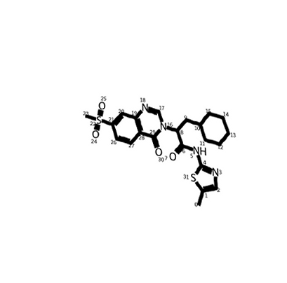 Cc1cnc(NC(=O)C(CC2CCCCC2)n2cnc3cc(S(C)(=O)=O)ccc3c2=O)s1